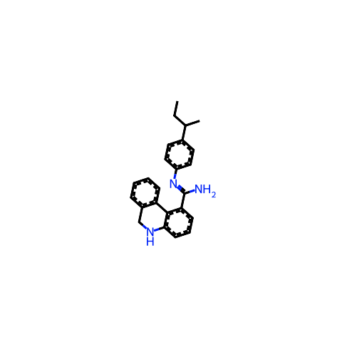 CCC(C)c1ccc(N=C(N)c2cccc3c2-c2ccccc2CN3)cc1